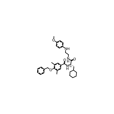 COc1ccc(NCCNC(=O)[C@H](CC2CCCCC2)NC(=O)c2cc(C)c(OCc3ccccc3)c(C)c2)cc1